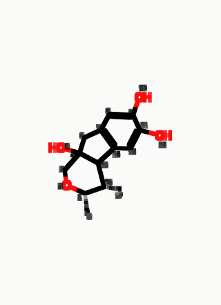 C[C@@H]1OCC2(O)Cc3cc(O)c(O)cc3C2[C@@H]1C